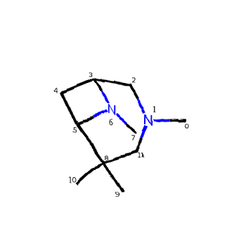 CN1CC2CC(N2C)C(C)(C)C1